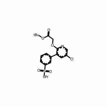 CCCS(=O)(=O)c1cccc(-c2cc(Cl)cnc2OCC(=O)OC(C)(C)C)c1